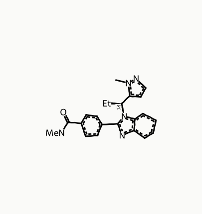 CC[C@@H](c1ccnn1C)n1c(-c2ccc(C(=O)NC)cc2)nc2ccccc21